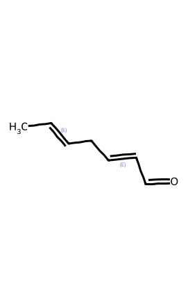 C/C=C/C/C=C/C=O